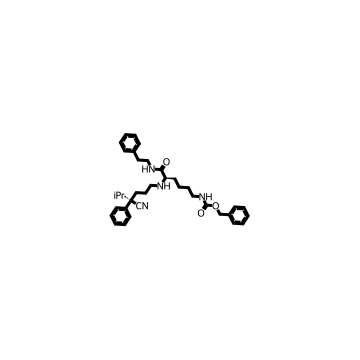 CC(C)[C@@](C#N)(CCCN[C@H](CCCCNC(=O)OCc1ccccc1)C(=O)NCCc1ccccc1)c1ccccc1